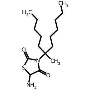 CCCCCCC(C)(CCCCC)N1C(=O)SC(N)C1=O